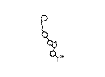 C[C@@H](O)c1cccc(-c2cnn3cc(-c4ccc(CCCN5CCCCC5)cc4)cnc23)c1